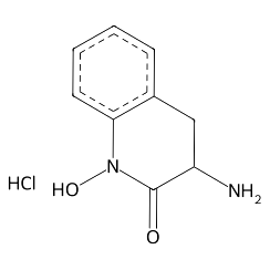 Cl.NC1Cc2ccccc2N(O)C1=O